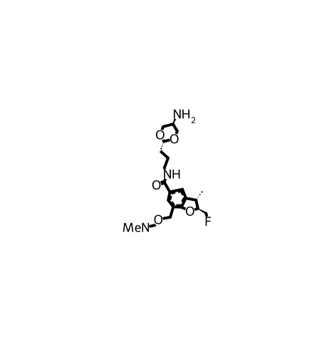 CNCOCc1cc(C(=O)NCCC[C@H]2OC[C@H](N)CO2)cc2c1O[C@H](CF)[C@H]2C